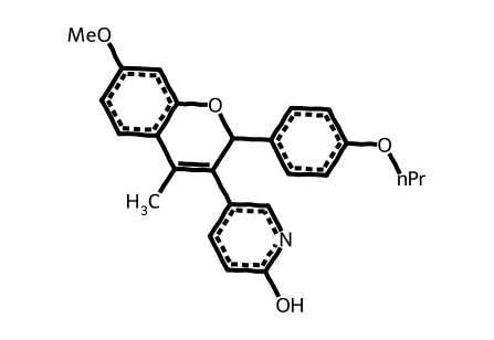 CCCOc1ccc(C2Oc3cc(OC)ccc3C(C)=C2c2ccc(O)nc2)cc1